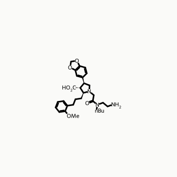 CCCCN(CCN)C(=O)CN1C[C@H](c2ccc3c(c2)OCO3)[C@@H](C(=O)O)[C@@H]1CCCc1ccccc1OC